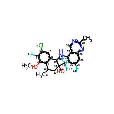 COc1c(F)c(Cl)cc2c1C(C)CC(O)(C(F)(F)F)C2Nc1cc(F)cc2nc(C)ncc12